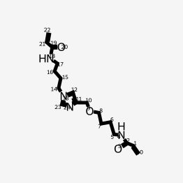 C=CC(=O)NCCCCOCc1cn(CCCCNC(=O)C=C)cn1